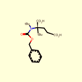 CC(C)(C)N(C(=O)OCc1ccccc1)[C@@](CCC(=O)O)(C(=O)O)C(C)(C)C